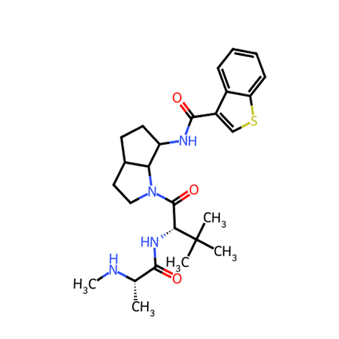 CN[C@@H](C)C(=O)N[C@H](C(=O)N1CCC2CCC(NC(=O)c3csc4ccccc34)C21)C(C)(C)C